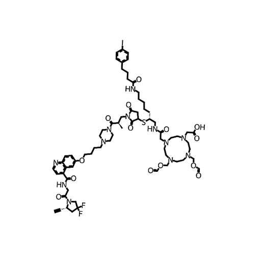 C#C[C@H]1CC(F)(F)CN1C(=O)CNC(=O)c1ccnc2ccc(OCCCCN3CCN(C(=O)[C@H](C)CN4C(=O)CC(S[C@H](CCCCCNC(=O)CCCc5ccc(I)cc5)CNC(=O)CN5CCN(COC=O)CCN(COC=O)CCN(CC(=O)O)CC5)C4=O)CC3)cc12